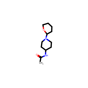 CC(=O)NC1CCN(C2CCCCO2)CC1